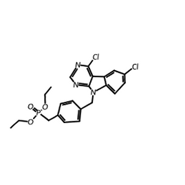 CCOP(=O)(Cc1ccc(Cn2c3ccc(Cl)cc3c3c(Cl)ncnc32)cc1)OCC